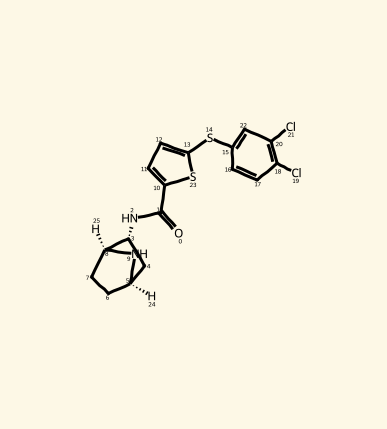 O=C(N[C@@H]1C[C@H]2CC[C@@H]1N2)c1ccc(Sc2ccc(Cl)c(Cl)c2)s1